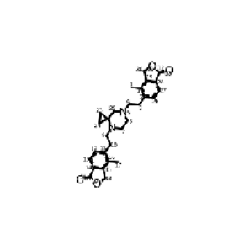 Cc1c(CCN2CCN(CCc3ccc4c(c3C)COC4=O)C3(CC3)C2)ccc2c1COC2=O